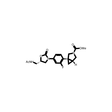 COC(=O)N1C[C@@H]2C[C@]2(c2ccc(N3C[C@H](CNC(C)=O)OC3=O)cc2F)C1